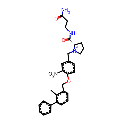 Cc1c(COc2ccc(CN3CCC[C@H]3C(=O)NCCC(N)=O)cc2[N+](=O)[O-])cccc1-c1ccccc1